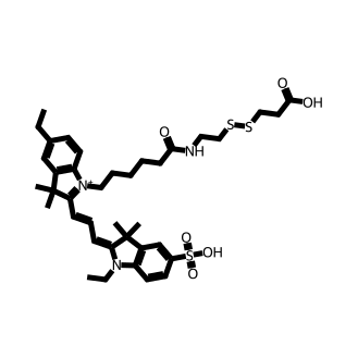 CCc1ccc2c(c1)C(C)(C)C(/C=C/C=C1/N(CC)c3ccc(S(=O)(=O)O)cc3C1(C)C)=[N+]2CCCCCC(=O)NCCSSCCC(=O)O